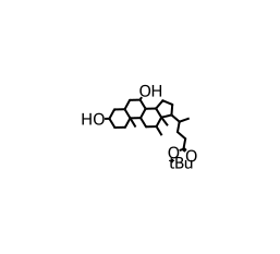 CC(CCC(=O)OC(C)(C)C)C1CCC2C3C(O)CC4CC(O)CCC4(C)C3CC(C)C12C